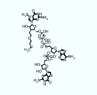 COCCOCC[C@H]1[C@@H](O)[C@H](n2c[n+](C)c3c(=O)[nH]c(N)nc32)O[C@@H]1COP(=O)(O)OP(=O)(O)OP(=O)(O)OCC1O[C@@H](n2cnc3c(N)ncnc32)[C@H](OC)[C@@H]1OP(=O)([O-])OC[C@H]1O[C@@H](n2cnc3c(=O)[nH]c(N)nc32)[C@H](O)[C@@H]1O